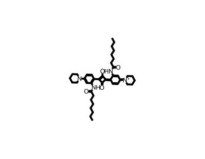 CCCCCCCC(=O)NC1=CC(=[N+]2CCCCC2)C=C/C1=C1\C(=O)C(c2ccc(N3CCCCC3)cc2NC(=O)CCCCCCC)=C1[O-]